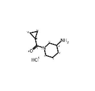 Cl.NC1CCCN(C(=O)C2CC2)C1